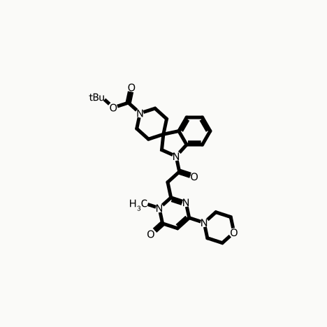 Cn1c(CC(=O)N2CC3(CCN(C(=O)OC(C)(C)C)CC3)c3ccccc32)nc(N2CCOCC2)cc1=O